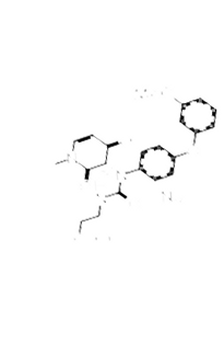 COc1cccc(Oc2ccc(N(C(=O)NCCC(=O)[O-])[C@H]3C(=O)C=CN(C)C3=O)cc2)c1.[Na+]